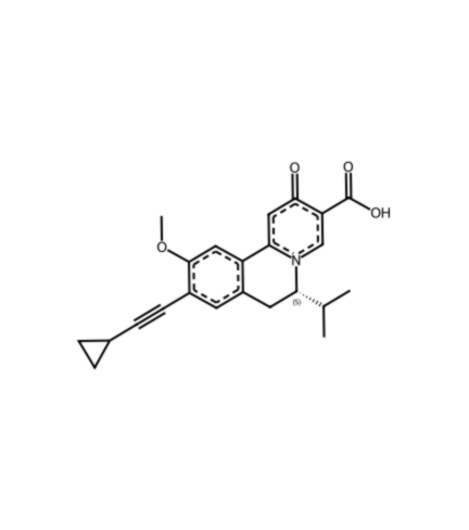 COc1cc2c(cc1C#CC1CC1)C[C@@H](C(C)C)n1cc(C(=O)O)c(=O)cc1-2